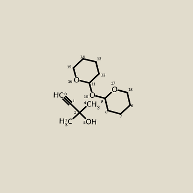 C#CC(C)(C)O.C1CCC(OC2CCCCO2)OC1